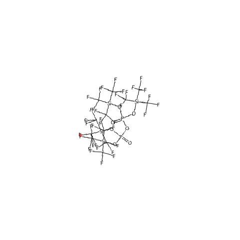 O=P(O[Si](C(F)(F)F)(C(F)(F)F)C(F)(F)F)(O[Si](C(F)(F)F)(C(F)(F)F)C(F)(F)F)OP(=O)(O[Si](C(F)(F)F)(C(F)(F)F)C(F)(F)F)O[Si](C(F)(F)F)(C(F)(F)F)C(F)(F)F